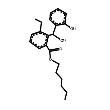 CCCCCCOC(=O)c1cccc(CC)c1C(O)c1ccccc1O